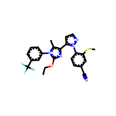 CCOc1nc(-c2ccnn2-c2ccc(C#N)cc2SC)c(C)n1-c1cccc(C(F)(F)F)c1